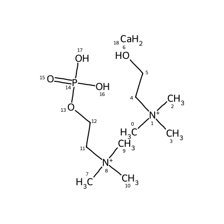 C[N+](C)(C)CCO.C[N+](C)(C)CCOP(=O)(O)O.[CaH2]